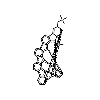 C[Si](C)(C)CC1C=C2c3ccc4c5ccc6c7ccc8c9ccc%10c1c1c%11c%10c9c9c8c7c7c6c5c5c4c3c(c3c%11c9c7c35)C21C[Si](C)(C)C